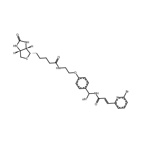 CCCC(NC(=O)/C=C/c1cccc(Br)n1)c1ccc(OCCNC(=O)CCCC[C@@H]2SC[C@@H]3NC(=O)N[C@@H]32)cc1